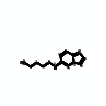 OCCCCNc1ccc2nccn2n1